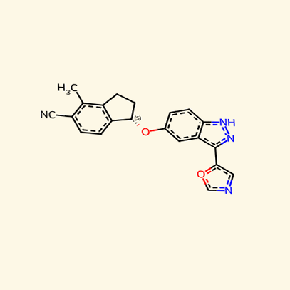 Cc1c(C#N)ccc2c1CC[C@@H]2Oc1ccc2[nH]nc(-c3cnco3)c2c1